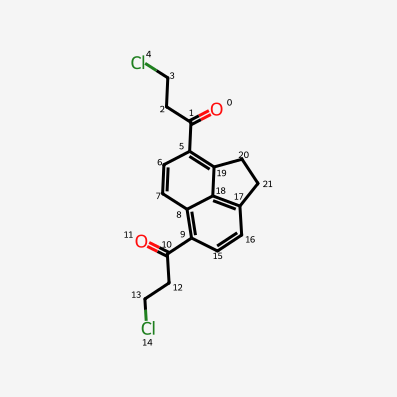 O=C(CCCl)c1ccc2c(C(=O)CCCl)ccc3c2c1CC3